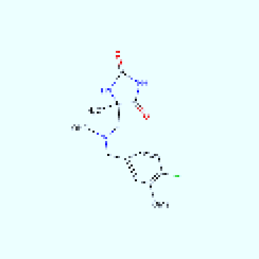 COc1cc(CN(C=O)CC2(C)NC(=O)NC2=O)ccc1Cl